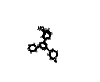 CN1CCCN(c2cc(-c3cccc(O)c3)nc(N3CCOCC3)n2)CC1